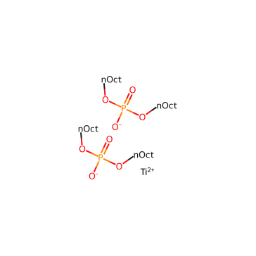 CCCCCCCCOP(=O)([O-])OCCCCCCCC.CCCCCCCCOP(=O)([O-])OCCCCCCCC.[Ti+2]